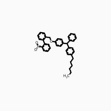 CCCCCCc1ccc(C(c2ccccc2)c2ccc(OCc3ccccc3-c3ccccc3[N+](=O)[O-])cc2)cc1